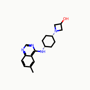 Cc1ccc2ncnc(N[C@H]3CC[C@@H](N4CC(O)C4)CC3)c2c1